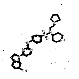 N#Cc1ccc2ccn(-c3ccnc(Nc4ccc(S(=O)(=O)N(CCN5CCCC5)C5CCNCC5)cc4)n3)c2c1